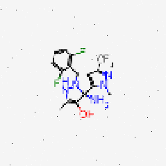 CC1=C(O)C(N)(c2cc(C(F)(F)F)nn2C)N(Cc2c(F)cccc2F)N1